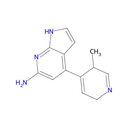 CC1C=NCC=C1c1cc(N)nc2[nH]ccc12